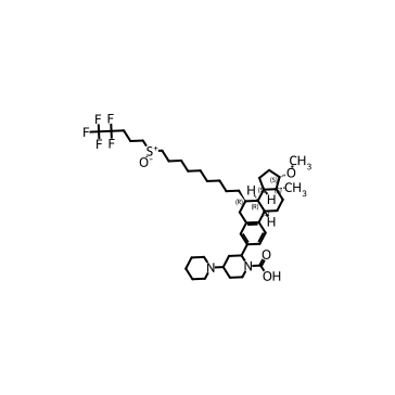 CO[C@H]1CC[C@H]2[C@@H]3[C@H](CCCCCCCCC[S+]([O-])CCCC(F)(F)C(F)(F)F)Cc4cc(C5CC(N6CCCCC6)CCN5C(=O)O)ccc4[C@H]3CC[C@]12C